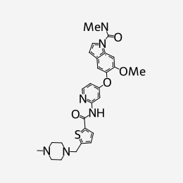 CNC(=O)n1ccc2cc(Oc3ccnc(NC(=O)c4ccc(CN5CCN(C)CC5)s4)c3)c(OC)cc21